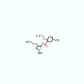 CC(C)(C)n1cc(CCCC#N)/c(=N/C(=O)c2cc(C#N)ccc2OCC(F)(F)F)s1